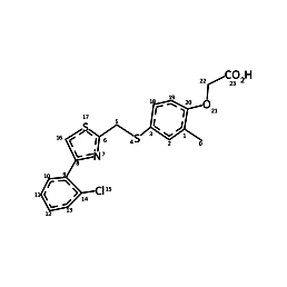 Cc1cc(SCc2nc(-c3ccccc3Cl)cs2)ccc1OCC(=O)O